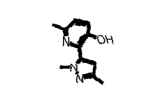 Cc1ccc(O)c(-c2cc(C)nn2C)n1